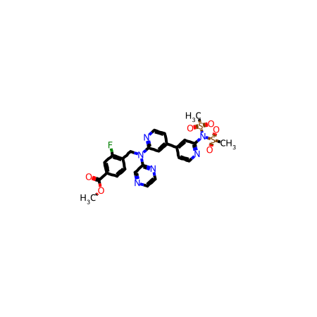 COC(=O)c1ccc(CN(c2cnccn2)c2cc(-c3ccnc(N(S(C)(=O)=O)S(C)(=O)=O)c3)ccn2)c(F)c1